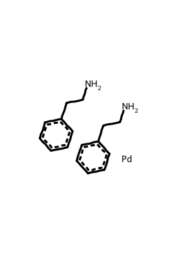 NCCc1ccccc1.NCCc1ccccc1.[Pd]